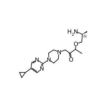 CC(OC[C@H](C)N)C(=O)CN1CCN(c2ncc(C3CC3)cn2)CC1